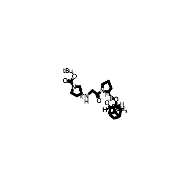 CC(C)(C)OC(=O)N1CC[C@@H](NCC(=O)N2CCC[C@H]2B2O[C@@H]3CC4CC([C@@H]3O2)C4(C)C)C1